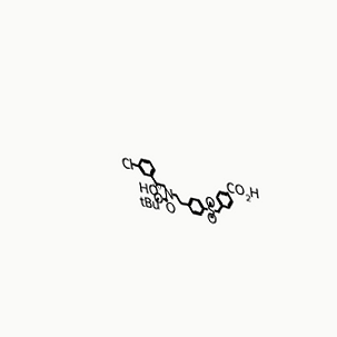 CC(C)(C)OC(=O)N(CCc1ccc(S(=O)(=O)Cc2ccc(C(=O)O)cc2)cc1)C[C@H](O)c1cccc(Cl)c1